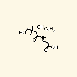 CC(C)(CO)[C@H](O)C(=O)NCCC(=O)O.[CaH2]